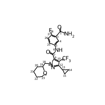 NC(=O)c1cc(NC(=O)c2c(C(F)(F)F)c(C3CC3)nn2CC2CCCCO2)ccc1F